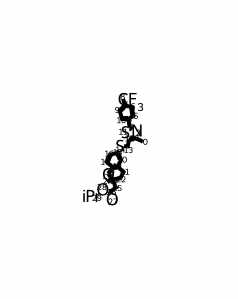 Cc1nc(-c2ccc(C(F)(F)F)cc2)sc1CSc1ccc2c(c1)CCC(C)(CC(=O)OC(C)C)O2